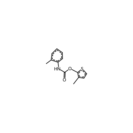 Cc1ccccc1NC(=O)Oc1sccc1C